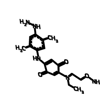 CCN(CCON)C1=CC(=O)C(Nc2cc(C)c(NN)cc2C)=CC1=O